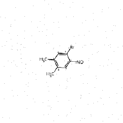 Cc1cc(Br)c(N=O)cc1C